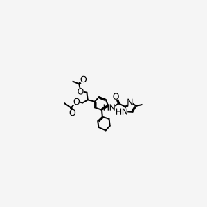 CC(=O)OCC(COC(C)=O)c1ccc(NC(=O)c2nc(C)c[nH]2)c(C2=CCCCC2)c1